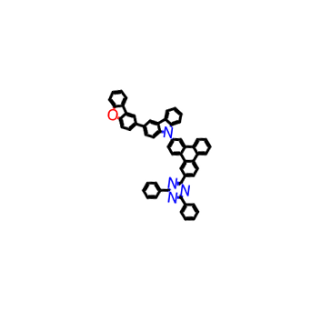 c1ccc(-c2nc(-c3ccccc3)nc(-c3ccc4c5ccccc5c5cc(-n6c7ccccc7c7cc(-c8ccc9oc%10ccccc%10c9c8)ccc76)ccc5c4c3)n2)cc1